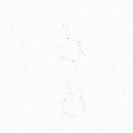 S=Nc1ccc(OCc2ccccc2)c(Cl)c1